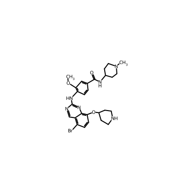 COc1cc(C(=O)NC2CCN(C)CC2)ccc1Nc1ncc2c(Br)ccc(OC3CCNCC3)c2n1